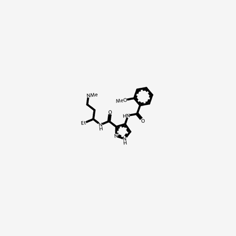 CCC(CCNC)NC(=O)c1n[nH]cc1NC(=O)c1ccccc1OC